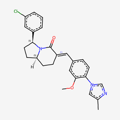 COc1cc(/C=C2\CC[C@H]3CC[C@@H](c4cccc(Cl)c4)N3C2=O)ccc1-n1cnc(C)c1